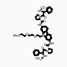 COCCOCCOCCn1c2cc(NC(=O)[C@@H]3CCCN3C(=O)C(NC(=O)O)c3ccccc3)ccc2c2ccc(NC(=O)[C@@H]3CCCN3C(=O)C(NC(=O)O)c3ccccc3)cc21